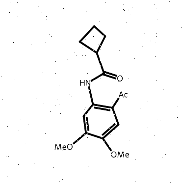 COc1cc(NC(=O)C2CCC2)c(C(C)=O)cc1OC